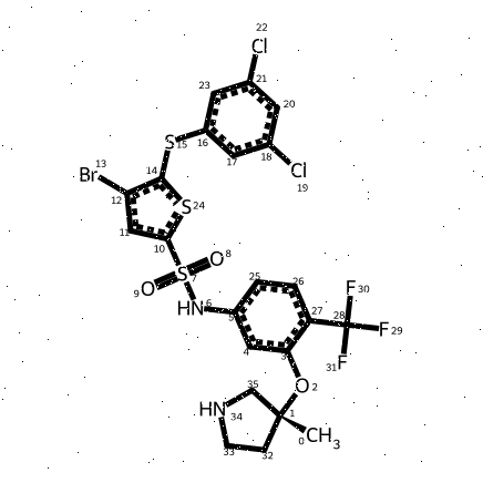 C[C@@]1(Oc2cc(NS(=O)(=O)c3cc(Br)c(Sc4cc(Cl)cc(Cl)c4)s3)ccc2C(F)(F)F)CCNC1